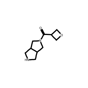 O=C(C1COC1)N1CC2CNCC2C1